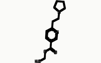 CCOC(=O)c1ccc(CCN2CCCC2)nc1